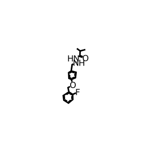 CC(C)C(=O)NNCc1ccc(OCc2ccccc2F)cc1